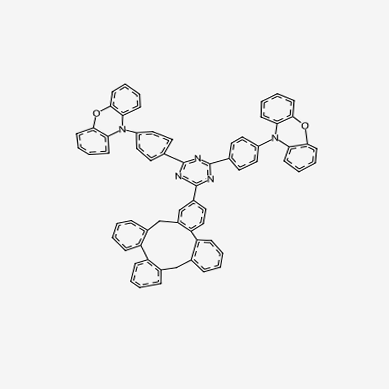 c1ccc2c(c1)Cc1ccccc1-c1ccc(-c3nc(-c4ccc(N5c6ccccc6Oc6ccccc65)cc4)nc(-c4ccc(N5c6ccccc6Oc6ccccc65)cc4)n3)cc1Cc1ccccc1-2